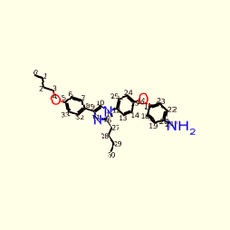 CCCCOc1ccc(-c2cn(-c3ccc(Oc4ccc(N)cc4)cc3)c(CCCC)n2)cc1